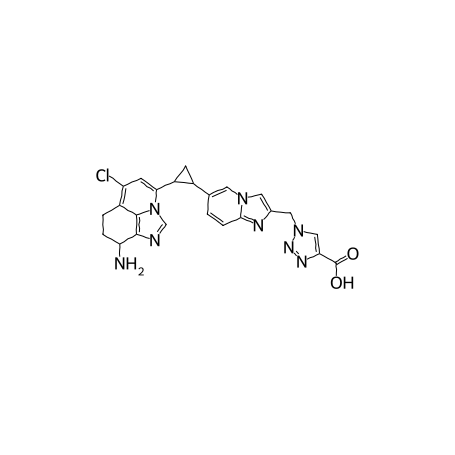 NC1CCc2c(Cl)cc(C3CC3c3ccc4nc(Cn5cc(C(=O)O)nn5)cn4c3)n3cnc1c23